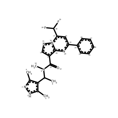 Cc1n[nH]c(C)c1C(C)N(C)C(=O)c1cnn2c(C(F)F)cc(-c3ccccc3)nc12